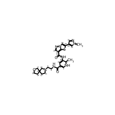 CC1NC=C(C(=O)NCCN2CCC3(CCOC3)C2)C=C1NC(=O)c1cnn2cc(-c3cnn(C)c3)sc12